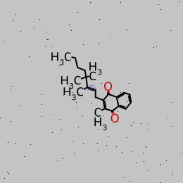 CCCCC(C)(C)/C(C)=C/CC1=C(C)C(=O)c2ccccc2C1=O